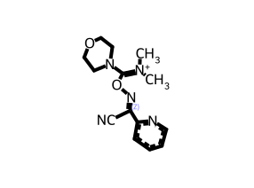 C[N+](C)=C(O/N=C(\C#N)c1ccccn1)N1CCOCC1